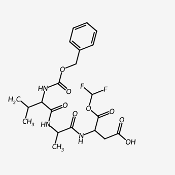 CC(NC(=O)C(NC(=O)OCc1ccccc1)C(C)C)C(=O)NC(CC(=O)O)C(=O)OC(F)F